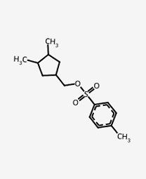 Cc1ccc(S(=O)(=O)OCC2CC(C)C(C)C2)cc1